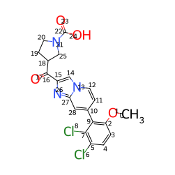 COc1ccc(Cl)c(Cl)c1-c1ccn2cc(C(=O)C3CCN(C(=O)O)C3)nc2c1